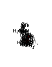 CONC(=O)COCC(=O)NC(NC(=O)C(Cc1ccc2ccccc2c1)NC(=O)C(Cc1ccc(C(N)=O)cc1)NC(=O)C(NC(=O)C(CCC(N)=O)NC(=O)C(Cc1c[nH]c2ccccc12)NC(=O)C(NC(=O)C(CCC(N)=O)NC(=O)C(NC(C)=O)C(C)(C)S)C(C)O)C(C)(C)S)C(=O)NNC(C)=O